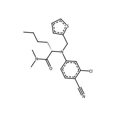 CCCC[C@@H](C(=O)N(C)C)N(Cc1cccs1)c1ccc(C#N)c(Cl)c1